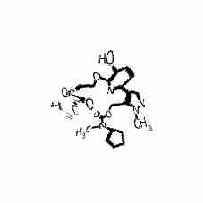 CN(C(=O)OCc1c(-c2ccc(O)c(OCCS(C)(=O)=O)n2)cnn1C)C1CCCC1